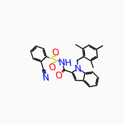 Cc1cc(C)c(Cn2c(C(=O)NS(=O)(=O)c3ccccc3C#N)cc3ccccc32)c(C)c1